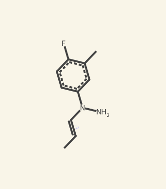 C/C=C/N(N)c1ccc(F)c(C)c1